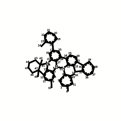 Cc1ccc(N2B3c4cc(C)cc5c4N(c4cc(-c6ccccc6C)cc(c43)-c3ccc4c(c32)Cc2ccccc2-4)C2(C)CCCCC52C)c(C)c1